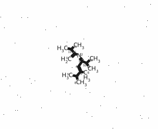 C=C(/N=C(\C=C(/C)C(C)C)C(C)C)C(C)C